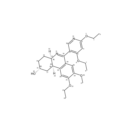 CCOc1cc(OCC)c(C2=N[C@@H]3CC[C@@H](O)C[C@@H]3c3cc(OCC)c(OC)cc32)cn1